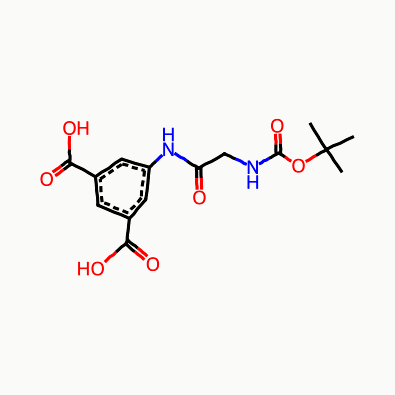 CC(C)(C)OC(=O)NCC(=O)Nc1cc(C(=O)O)cc(C(=O)O)c1